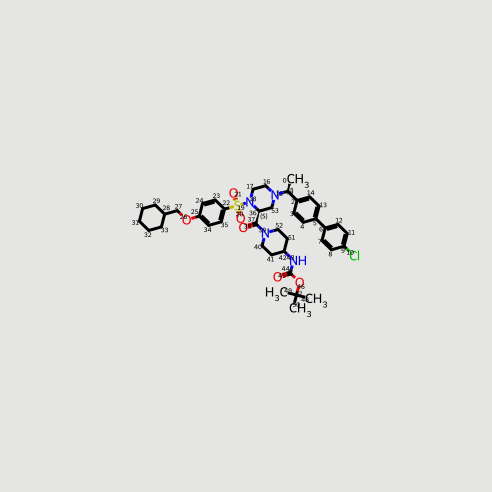 C[C@@H](c1ccc(-c2ccc(Cl)cc2)cc1)N1CCN(S(=O)(=O)c2ccc(OCC3CCCCC3)cc2)[C@H](C(=O)N2CCC(NC(=O)OC(C)(C)C)CC2)C1